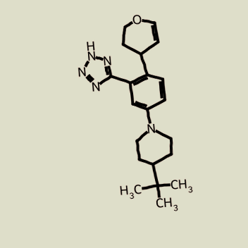 CC(C)(C)C1CCN(c2ccc(C3C=COCC3)c(-c3nn[nH]n3)c2)CC1